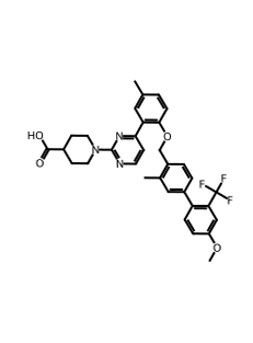 COc1ccc(-c2ccc(COc3ccc(C)cc3-c3ccnc(N4CCC(C(=O)O)CC4)n3)c(C)c2)c(C(F)(F)F)c1